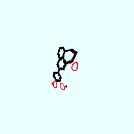 COc1ccc(-c2cc3c4c(cccc4c2)C=CC3=O)cc1OC